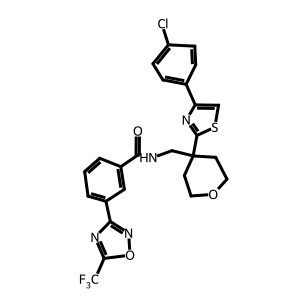 O=C(NCC1(c2nc(-c3ccc(Cl)cc3)cs2)CCOCC1)c1cccc(-c2noc(C(F)(F)F)n2)c1